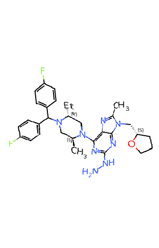 CC[C@@H]1CN(c2nc(NN)nc3c2nc(C)n3C[C@@H]2CCCO2)[C@@H](C)CN1C(c1ccc(F)cc1)c1ccc(F)cc1